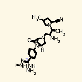 C=C(C(N)CN1C[C@@H]2CC1C(=O)N2c1ccc(/C(=N/NI)NN)cc1)N1CC(C)CC1C#N